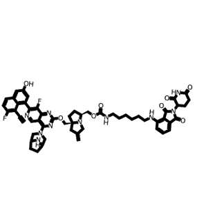 C#Cc1c(F)ccc2cc(O)cc(-c3ncc4c(N5CC6CCC(C5)N6)nc(OC[C@@]56CC[C@@H](COC(=O)NCCCCCCNc7cccc8c7C(=O)N(C7CCC(=O)NC7=O)C8=O)N5CC(=C)C6)nc4c3F)c12